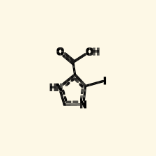 O=C(O)c1[nH]cnc1I